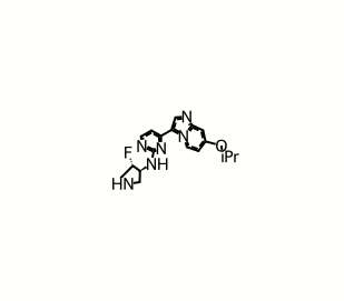 CC(C)Oc1ccn2c(-c3ccnc(N[C@H]4CNC[C@@H]4F)n3)cnc2c1